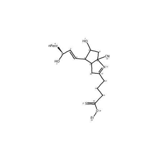 CCCCC[C@H](O)C=CC1C(O)CC2(C#N)N=C(CCCC(=S)OCC)CC12